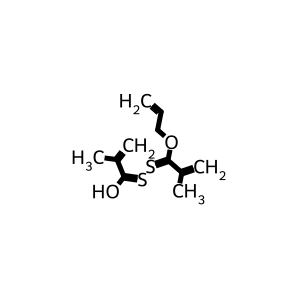 C=C(C)C(O)=S.C=CCOC(=S)C(=C)C